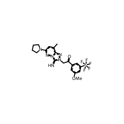 COc1cc(C(=O)Cn2nc3c(C)cc(N4CCCC4)nn3c2=N)cc(S(F)(F)(F)(F)F)c1